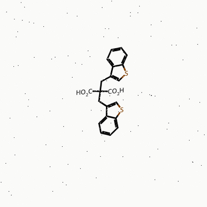 O=C(O)C(Cc1csc2ccccc12)(Cc1csc2ccccc12)C(=O)O